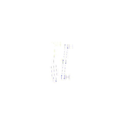 N#CS.N=[N+]=N